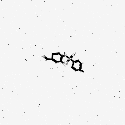 Cc1ccc(S(=O)(=O)Nc2ccc(C=S)cc2C#N)cc1